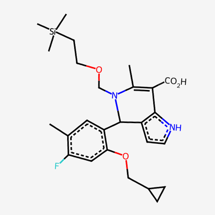 CC1=C(C(=O)O)c2[nH]ccc2C(c2cc(C)c(F)cc2OCC2CC2)N1COCC[Si](C)(C)C